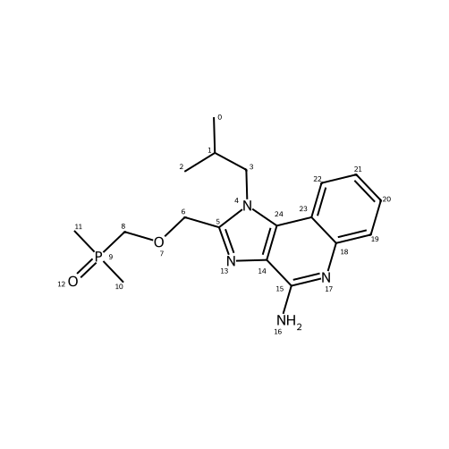 CC(C)Cn1c(COCP(C)(C)=O)nc2c(N)nc3ccccc3c21